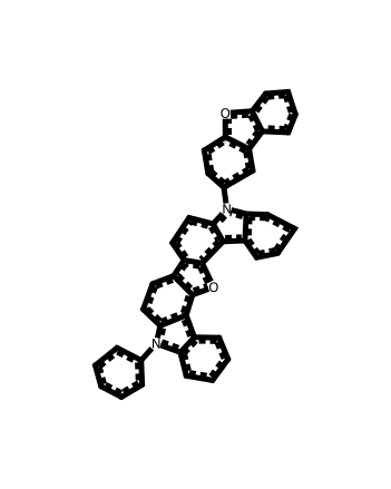 c1ccc(-n2c3ccccc3c3c4oc5c(ccc6c5c5ccccc5n6-c5ccc6oc7ccccc7c6c5)c4ccc32)cc1